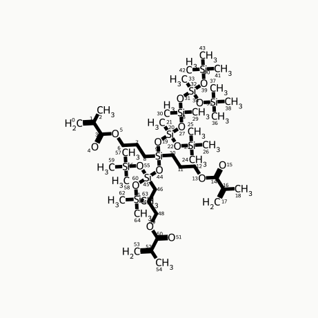 C=C(C)C(=O)OCCC[Si](CCCOC(=O)C(=C)C)(O[Si](C)(O[Si](C)(C)C)O[Si](C)(C)O[Si](C)(O[Si](C)(C)C)O[Si](C)(C)C)O[Si](CCCOC(=O)C(=C)C)(O[Si](C)(C)C)O[Si](C)(C)C